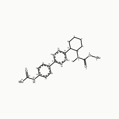 CN(C(=O)OC(C)(C)C)C1CCCCC1c1nnc(-c2ccc(NC(=O)C(C)(C)C)cc2)nn1